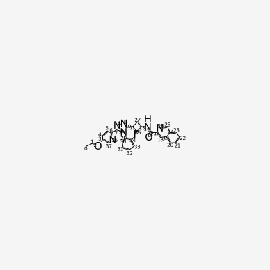 CCOc1ccc(-c2nnc([C@H]3C[C@H](NC(=O)c4cc5ccccc5cn4)C3)n2-c2ccccc2F)nc1